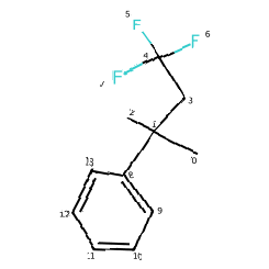 CC(C)(CC(F)(F)F)c1ccccc1